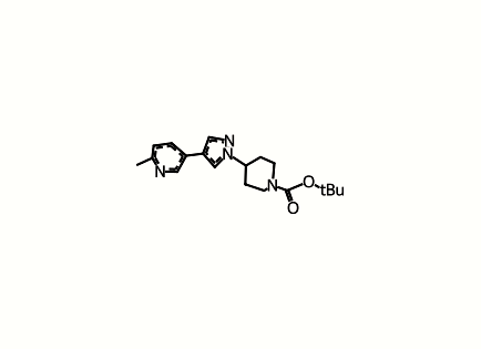 Cc1ccc(-c2cnn(C3CCN(C(=O)OC(C)(C)C)CC3)c2)cn1